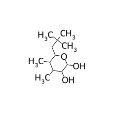 CC1C(CC(C)(C)C)OC(O)C(O)C1C